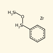 [SiH3]O[SiH2]c1ccccc1.[Zr]